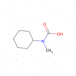 CN(C(=O)O)C1CCCCC1